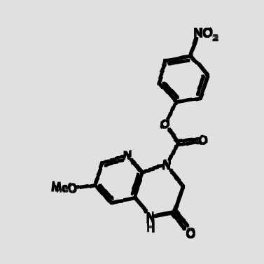 COc1cnc2c(c1)NC(=O)CN2C(=O)Oc1ccc([N+](=O)[O-])cc1